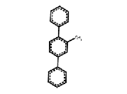 Cc1cc(-c2ccccc2)ccc1-c1cc[c]cc1